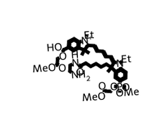 CCN1/C(=C/C=C/C=C/C2=[N+](CC)c3ccc(C(O)OCC(=O)OC)cc3C2(C)C)C(C)(CCCCCC(=O)NCCN)c2cc(P(=O)(OC)OCC(=O)OC)ccc21